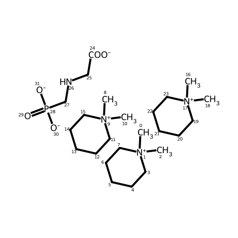 C[N+]1(C)CCCCC1.C[N+]1(C)CCCCC1.C[N+]1(C)CCCCC1.O=C([O-])CNCP(=O)([O-])[O-]